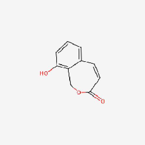 O=C1C=Cc2cccc(O)c2CO1